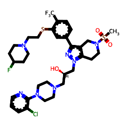 CS(=O)(=O)N1CCc2c(c(-c3ccc(C(F)(F)F)c(SCCN4CCC(F)CC4)c3)nn2C[C@H](O)CN2CCN(c3ncccc3Cl)CC2)C1